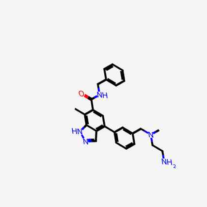 Cc1c(C(=O)NCc2ccccc2)cc(-c2cccc(CN(C)CCN)c2)c2cn[nH]c12